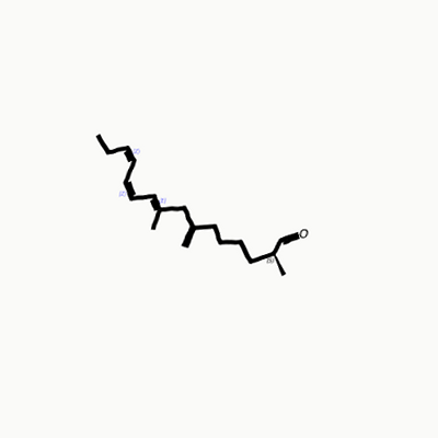 C=C(CCCC[C@H](C)C=O)C/C(C)=C/C=C\C=C/CC